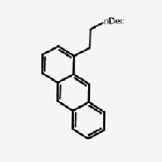 CCCCCCCCCCCCc1cccc2cc3ccccc3cc12